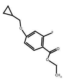 CCOC(=O)c1ccc(OCC2CC2)cc1F